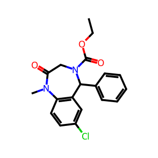 CCOC(=O)N1CC(=O)N(C)c2ccc(Cl)cc2C1c1ccccc1